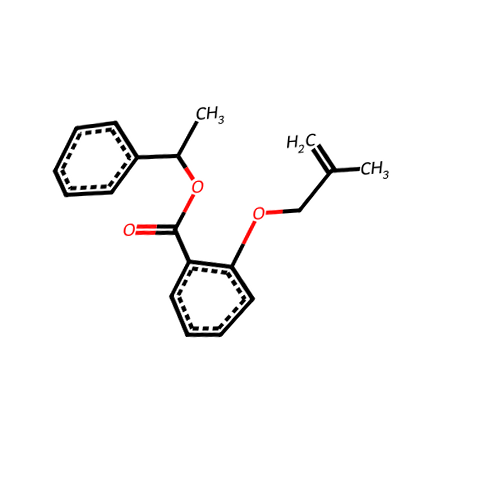 C=C(C)COc1ccccc1C(=O)OC(C)c1ccccc1